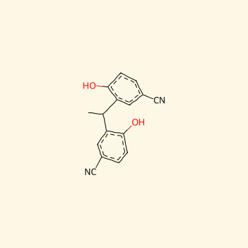 CC(c1cc(C#N)ccc1O)c1cc(C#N)ccc1O